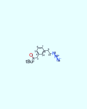 CC(C)(C)C(=O)Cc1cccc(CCN=[N+]=[N-])c1